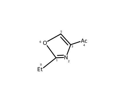 CCc1nc(C(C)=O)co1